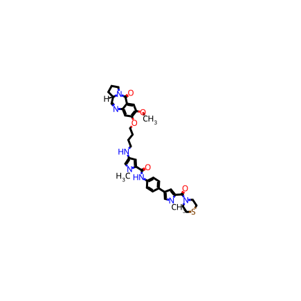 COc1cc2c(cc1OCCCCNc1cc(C(=O)Nc3ccc(-c4cc(C(=O)N5CCSCC5)n(C)c4)cc3)n(C)c1)N=C[C@@H]1CCCN1C2=O